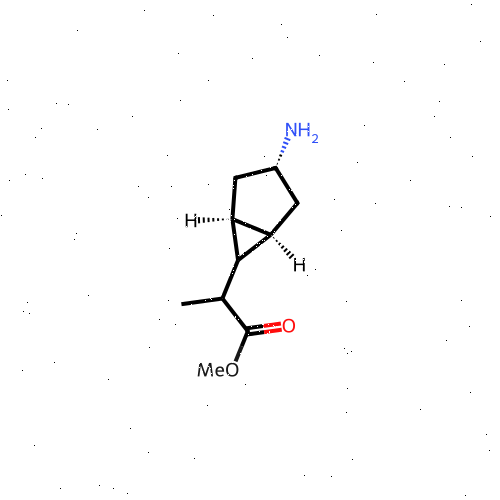 COC(=O)C(C)C1[C@H]2C[C@H](N)C[C@@H]12